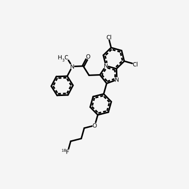 CN(C(=O)Cc1c(-c2ccc(OCCC[18F])cc2)nc2c(Cl)cc(Cl)cn12)c1ccccc1